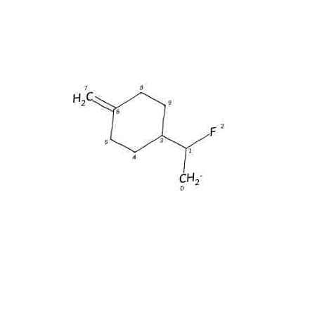 [CH2]C(F)C1CCC(=C)CC1